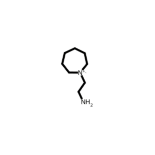 NCC[N+]1CCCCCC1